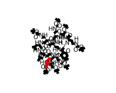 CC(NCC[C@H](NC(=O)[C@H](CCNC(=O)OC(C)(C)C)NC(=O)[C@@H](NC(=O)[C@@H](N)CCNC(=O)OC(C)(C)C)[C@@H](C)OC(C)(C)C)C(=O)N[C@@H](CCNC(=O)OC(C)(C)C)C(=O)N[C@H](CC(C)C)C(=O)N[C@@H](CC(C)C)C(=O)N[C@@H](CCNC(=O)OC(C)(C)C)C(=O)N[C@@H](CCNC(=O)OC(C)(C)C)C(=O)N[C@H](C(=O)O)[C@@H](C)OC(C)(C)C)=C1C(=O)CC(C)(C)CC1=O